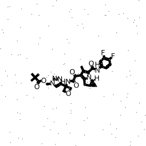 Cc1c(C(=O)C(=O)NC2(c3cn(COC(=O)C(C)(C)C)nn3)COC2)c2n(c1C(=O)Nc1ccc(F)c(F)c1)[C@@H]1C=C1C2